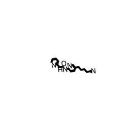 N#CCCCCc1ccc(NC(=O)Cc2ccccn2)nc1